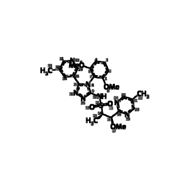 COc1cccc(OC)c1-n1c(NS(=O)(=O)[C@H](C)[C@H](OC)c2ncc(C)cn2)nnc1-c1cncc(C)c1